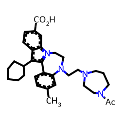 CC(=O)N1CCCN(CCN2CCn3c(c(C4CCCCC4)c4ccc(C(=O)O)cc43)-c3ccc(C)cc32)CC1